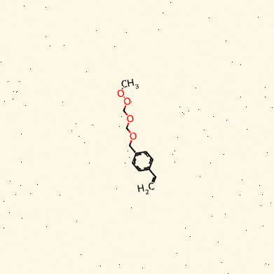 C=Cc1ccc(COCOCOOC)cc1